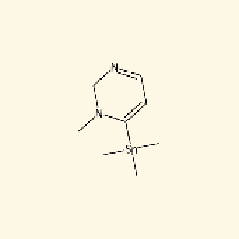 CN1CN=CC=[C]1[Sn]([CH3])([CH3])[CH3]